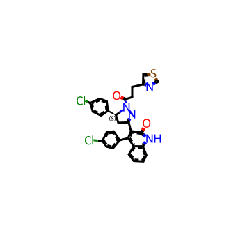 O=C(CCc1cscn1)N1N=C(c2c(-c3ccc(Cl)cc3)c3ccccc3[nH]c2=O)C[C@H]1c1ccc(Cl)cc1